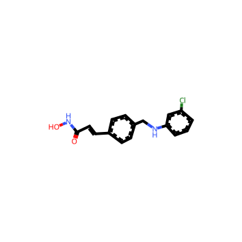 O=C(/C=C/c1ccc(CNc2cccc(Cl)c2)cc1)NO